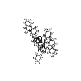 c1ccc(-c2nc(-c3ccccc3)nc(-n3c4ccccc4c4ccc5c6ccccc6n(-c6cccc7nc(-c8ccc9c(ccc%10ccccc%109)c8)oc67)c5c43)n2)cc1